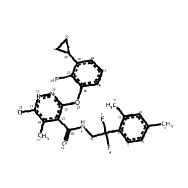 Cc1ccc(C(F)(F)CNC(=O)c2c(Oc3cccc(C4CC4)c3F)nnc(Cl)c2C)c(C)c1